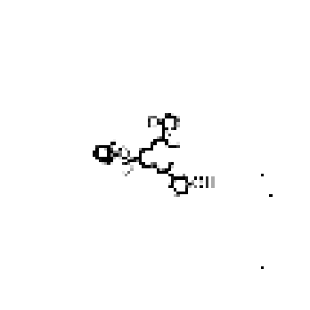 CCC(CCCC(CCCC(C)C1CCCC(O)C1)C(=O)OC1CC2CCC1(C)C2)N1CCCC1=O